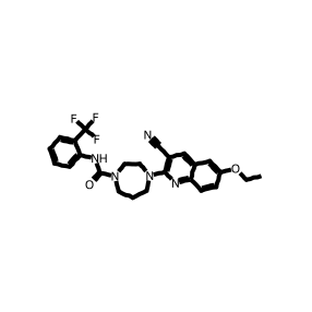 CCOc1ccc2nc(N3CCCN(C(=O)Nc4ccccc4C(F)(F)F)CC3)c(C#N)cc2c1